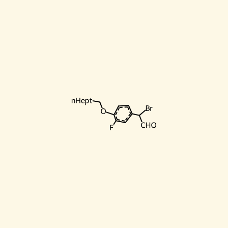 CCCCCCCCOc1ccc(C(Br)C=O)cc1F